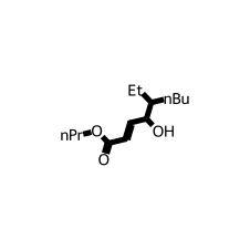 CCCCC(CC)C(O)C=CC(=O)OCCC